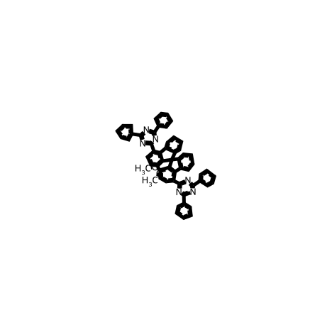 COc1ccc(-c2nc(-c3ccccc3)nc(-c3ccccc3)n2)c2c1C1(c3ccccc3-2)c2ccccc2-c2c(-c3nc(-c4ccccc4)nc(-c4ccccc4)n3)ccc(OC)c21